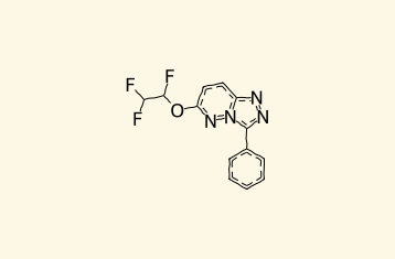 FC(F)C(F)Oc1ccc2nnc(-c3ccccc3)n2n1